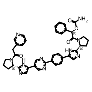 NC(=O)O[C@@H](C(=O)N1CCC[C@H]1c1ncc(-c2ccc(-c3ncc(-c4cnc([C@@H]5CCCN5C(=O)Cc5cccnc5)[nH]4)cn3)cc2)[nH]1)c1ccccc1